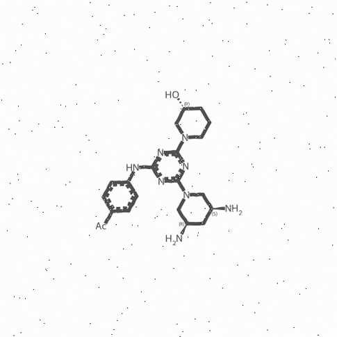 CC(=O)c1ccc(Nc2nc(N3C[C@H](N)C[C@H](N)C3)nc(N3CCC[C@@H](O)C3)n2)cc1